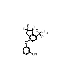 CS(=O)(=O)c1ccc(Oc2cccc(C#N)c2)c2c1C(=O)C(F)(F)C2